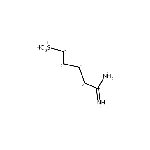 N=C(N)CCCCS(=O)(=O)O